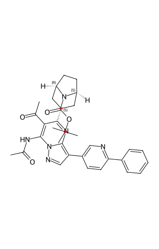 CC(=O)Nc1c(C(C)=O)c([C@@H]2C[C@H]3CC[C@@H](C2)N3C(=O)OC(C)(C)C)nc2c(-c3ccc(-c4ccccc4)nc3)cnn12